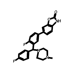 CN1CCN(C(c2ccc(F)cc2)c2cc(-c3ccc4[nH]c(=O)oc4c3)ccc2F)CC1